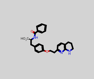 O=C(N[C@@H](Cc1ccc(OCCc2ccc3c(n2)NCCC3)cc1)C(=O)O)c1ccccc1